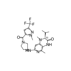 Cc1nc(N[C@@H]2CCN(C(=O)c3cc(C(F)(F)F)nn3C)C2)cc2c1NC(=O)[C@H](C(C)C)N2C